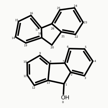 OC1c2ccccc2-c2ccccc21.c1ccc2c(c1)Cc1ccccc1-2